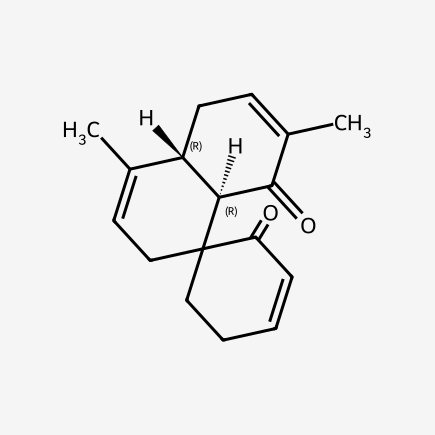 CC1=CC[C@H]2C(C)=CCC3(CCC=CC3=O)[C@@H]2C1=O